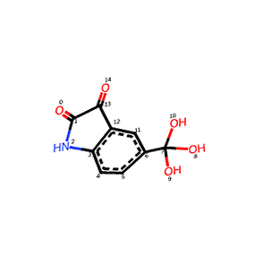 O=C1Nc2ccc(C(O)(O)O)cc2C1=O